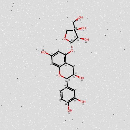 OC[C@@]1(O)CO[C@@H](Oc2cc(O)cc3c2C[C@@H](O)[C@@H](c2ccc(O)c(O)c2)O3)[C@@H]1O